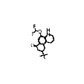 CC(C)(C)C1CC(=O)c2cc(OC(F)F)c3c(c2C1)CCCN3